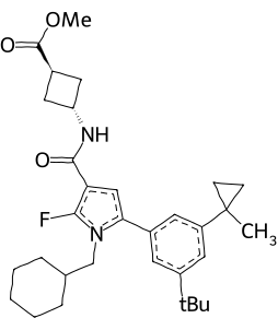 COC(=O)[C@H]1C[C@H](NC(=O)c2cc(-c3cc(C(C)(C)C)cc(C4(C)CC4)c3)n(CC3CCCCC3)c2F)C1